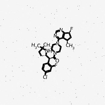 C[C@@H]1C[C@H](F)c2ncnc(N3CCN(C(=O)[C@@H](c4ccc(Cl)cc4F)[C@@H]4CCC(C)(C)N4)CC3)c21